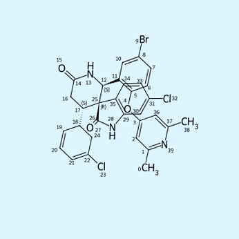 Cc1cc(Oc2ccc(Br)cc2[C@@H]2NC(=O)C[C@@H](C3C=CC=C(Cl)C3)[C@]23C(=O)Nc2cc(Cl)ccc23)cc(C)n1